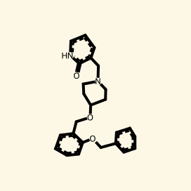 O=c1[nH]cccc1CN1CCC(OCc2ccccc2OCc2ccccc2)CC1